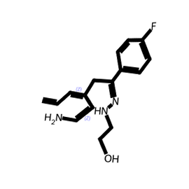 C=C/C=C(\C=C/N)CC(=NNCCO)c1ccc(F)cc1